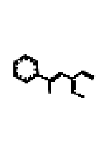 C=CC(=CC)C=C(C)c1ccccc1